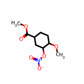 COC(=O)C1CCC(OC)C(O[N+](=O)[O-])C1